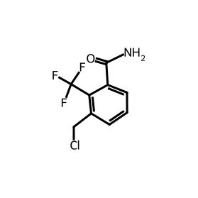 NC(=O)c1cccc(CCl)c1C(F)(F)F